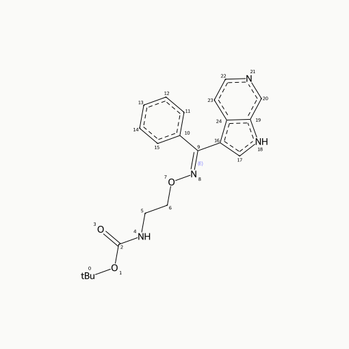 CC(C)(C)OC(=O)NCCO/N=C(\c1ccccc1)c1c[nH]c2cnccc12